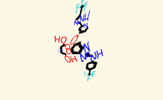 Cn1c(Nc2ccc(C(F)(F)F)cc2)nc2cc(Oc3ccnc(-c4ncc(C(F)(F)F)[nH]4)c3)ccc21.O=C(O)/C=C\C(=O)O